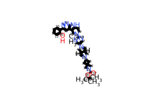 CC1c2c([nH]c3nnc(-c4ccccc4O)cc23)CCN1c1ncc(N2C[C@@H]3CN(C4CC5(C4)CN(C(=O)OC(C)(C)C)C5)C[C@@H]3C2)cn1